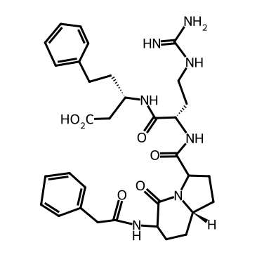 N=C(N)NCC[C@H](NC(=O)C1CC[C@@H]2CCC(NC(=O)Cc3ccccc3)C(=O)N12)C(=O)N[C@@H](CCc1ccccc1)CC(=O)O